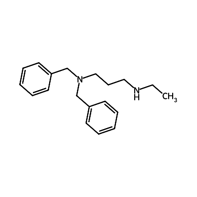 CCNCCCN(Cc1ccccc1)Cc1ccccc1